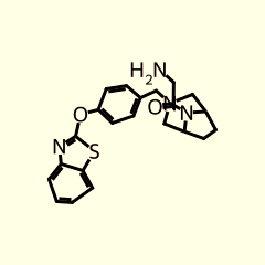 NCC(=O)N1C2CCC1CN(Cc1ccc(Oc3nc4ccccc4s3)cc1)C2